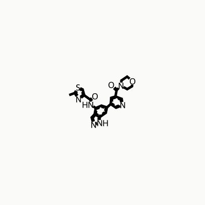 Cc1nc(C(=O)Nc2cc(-c3cncc(C(=O)N4CCOCC4)c3)cc3[nH]ncc23)cs1